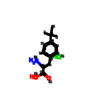 CC(C)(C)c1ccc(CC(N)C(=O)O)cc1.Cl